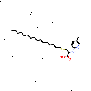 CCCCCCCCCCCCCCCCSCC(Nc1ccc(C)cn1)C(=O)O